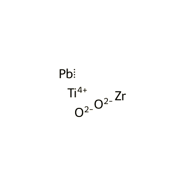 [O-2].[O-2].[Pb].[Ti+4].[Zr]